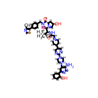 Cc1ncsc1-c1ccc(CNC(=O)[C@@H]2C[C@@H](O)CN2C(=O)[C@@H](NC(=O)CN2CCC(c3cnc(N4CCN(c5cc(-c6ccccc6O)nnc5N)CC4)nc3)CC2)C(C)(C)C)cc1